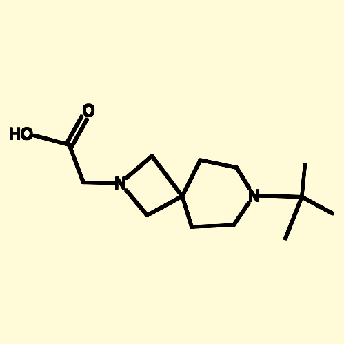 CC(C)(C)N1CCC2(CC1)CN(CC(=O)O)C2